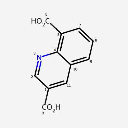 O=C(O)c1cnc2c(C(=O)O)cccc2c1